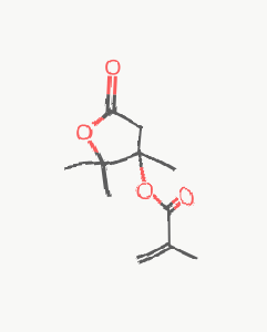 C=C(C)C(=O)OC1(C)CC(=O)OC1(C)C